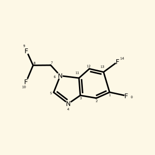 Fc1cc2ncn(CC(F)F)c2cc1F